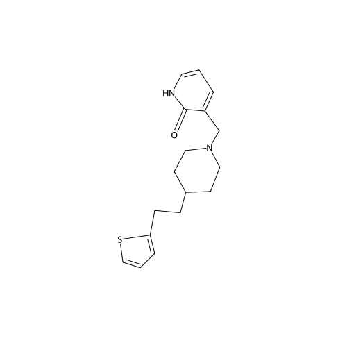 O=c1[nH]cccc1CN1CCC(CCc2cccs2)CC1